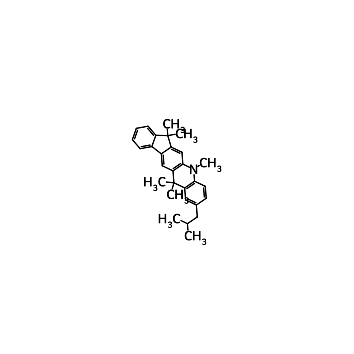 CC(C)Cc1ccc2c(c1)C(C)(C)c1cc3c(cc1N2C)C(C)(C)c1ccccc1-3